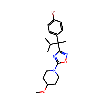 COC1CCN(c2nc(C(C)(c3ccc(Br)cc3)C(C)C)no2)CC1